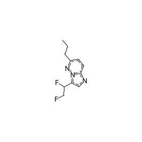 CCCc1ccc2ncc(C(F)CF)n2n1